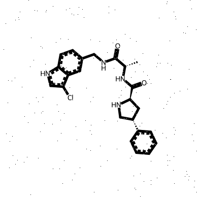 C[C@H](NC(=O)[C@H]1C[C@H](c2ccccc2)CN1)C(=O)NCc1ccc2[nH]cc(Cl)c2c1